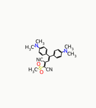 CN(C)c1ccc(C(=CC(C#N)=C(C#N)S(C)(=O)=O)c2ccc(N(C)C)cc2)cc1